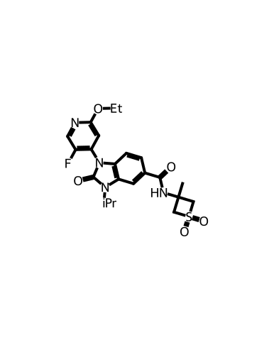 CCOc1cc(-n2c(=O)n(C(C)C)c3cc(C(=O)NC4(C)CS(=O)(=O)C4)ccc32)c(F)cn1